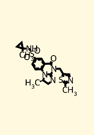 Cc1ncc(CN2C(=O)c3cc(S(=O)(=O)NC4(C)CC4)ccc3N3C2=NC[C@H]3C)s1